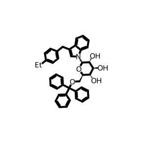 CCc1ccc(Cc2cn([C@@H]3O[C@H](COC(c4ccccc4)(c4ccccc4)c4ccccc4)[C@@H](O)[C@H](O)[C@H]3O)c3ccccc23)cc1